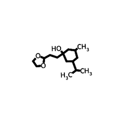 CC1CC(C(C)C)CC(O)(CCC2OCCO2)C1